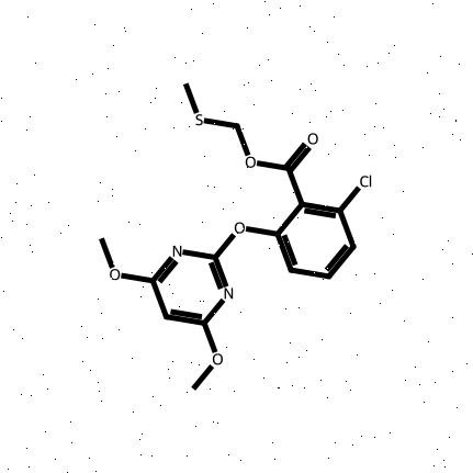 COc1cc(OC)nc(Oc2cccc(Cl)c2C(=O)OCSC)n1